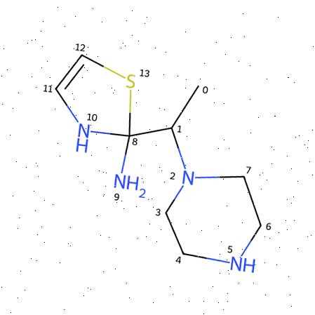 CC(N1CCNCC1)C1(N)NC=CS1